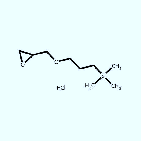 C[Si](C)(C)CCCOCC1CO1.Cl